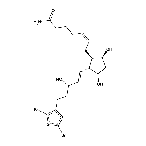 NC(=O)CCC/C=C\C[C@@H]1[C@@H](/C=C/[C@@H](O)CCc2cc(Br)sc2Br)[C@H](O)C[C@@H]1O